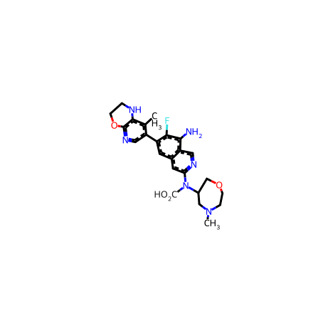 Cc1c(-c2cc3cc(N(C(=O)O)C4COCCN(C)C4)ncc3c(N)c2F)cnc2c1NCCO2